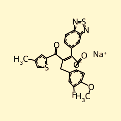 COc1ccc(CC(C(=O)c2cc(C)cs2)=C(C(=O)[O-])c2ccc3nsnc3c2)cc1F.[Na+]